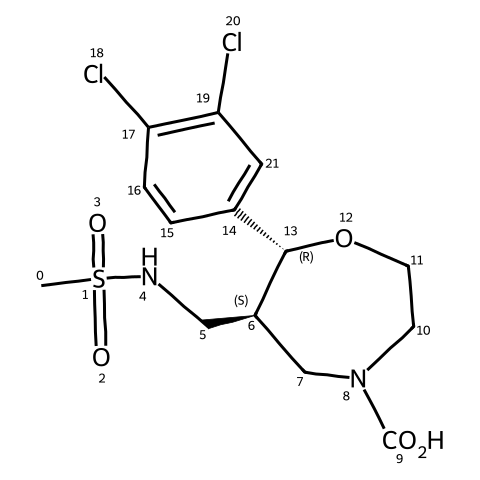 CS(=O)(=O)NC[C@@H]1CN(C(=O)O)CCO[C@H]1c1ccc(Cl)c(Cl)c1